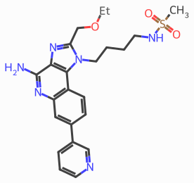 CCOCc1nc2c(N)nc3cc(-c4cccnc4)ccc3c2n1CCCCNS(C)(=O)=O